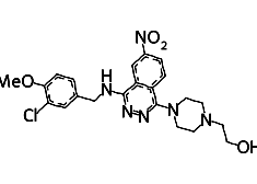 COc1ccc(CNc2nnc(N3CCN(CCO)CC3)c3ccc([N+](=O)[O-])cc23)cc1Cl